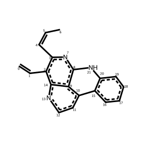 C=Cc1c(/C=C\C)nc2c3c(ccnc13)-c1ccccc1N2